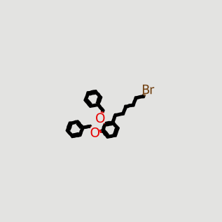 BrCCCCCCc1cccc(OCc2ccccc2)c1OCc1ccccc1